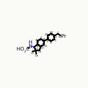 CC(C)Cc1ccc(-c2ccc3c(c2)CC(C)(C)[C@H]3NC(=O)O)cc1